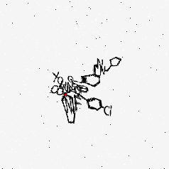 CC(C)(C)OC(=O)NC1CC2CCC(C1)N2C(=O)C(NS(=O)(=O)c1ccc2c(cnn2CC2CCCC2)c1)C(F)(F)c1ccc(Cl)cc1